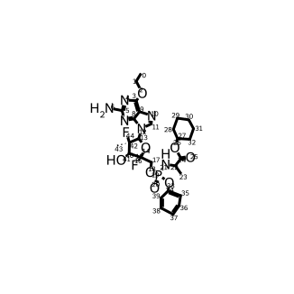 CCOc1nc(N)nc2c1ncn2C1O[C@](F)(COP(=O)(NC(C)C(=O)OC2CCCCC2)Oc2ccccc2)[C@@H](O)[C@@]1(C)F